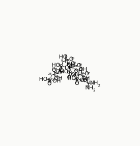 NC(N)=O.O=P(O)(O)CP(=O)(O)O.O=P(O)(O)CP(=O)(O)O.O=P(O)(O)CP(=O)(O)O.O=P(O)(O)CP(=O)(O)O